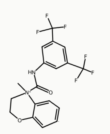 C[N+]1(C(=O)Nc2cc(C(F)(F)F)cc(C(F)(F)F)c2)CCOc2c[c]ccc21